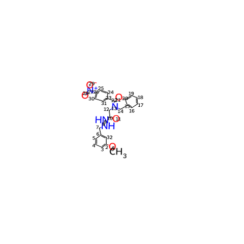 COc1cccc(CNNC(=O)CN2Cc3ccccc3OC2c2ccc([N+](=O)[O-])cc2)c1